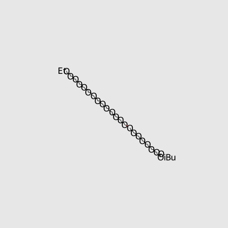 CCOCCOCCOCCOCCOCCOCCOCCOCCOCCOCCOCCOCCOCCOCCOCCOCCOCCOCCOCCOCCOCC(=O)OCC(C)C